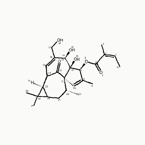 C/C=C(/C)C(=O)O[C@H]1C(C)=C[C@]23C(=O)C(C=C(CO)[C@@H](O)[C@]12O)[C@H]1C(C[C@H]3C)C1(C)C